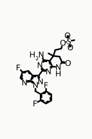 CC1(CCOS(C)(=O)=O)CC(=O)Nc2nc(-c3nn(Cc4c(F)cccc4F)c4ncc(F)cc34)nc(N)c21